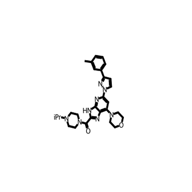 Cc1cccc(-c2ccn(-c3cc(N4CCOCC4)c4nc(C(=O)N5CCN(C(C)C)CC5)[nH]c4n3)n2)c1